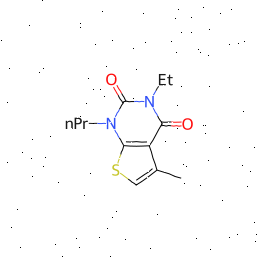 CCCn1c(=O)n(CC)c(=O)c2c(C)csc21